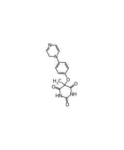 CC1(Oc2ccc(N3C=CN=CC3)cc2)C(=O)NC(=O)NC1=O